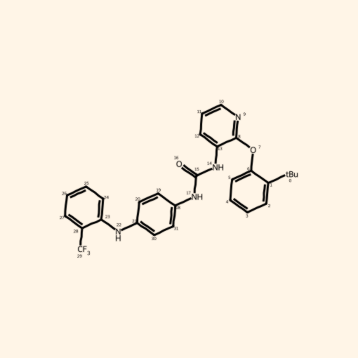 CC(C)(C)c1ccccc1Oc1ncccc1NC(=O)Nc1ccc(Nc2ccccc2C(F)(F)F)cc1